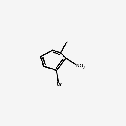 O=[N+]([O-])c1c(Br)cccc1I